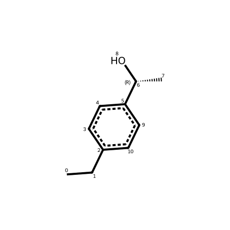 CCc1ccc([C@@H](C)O)cc1